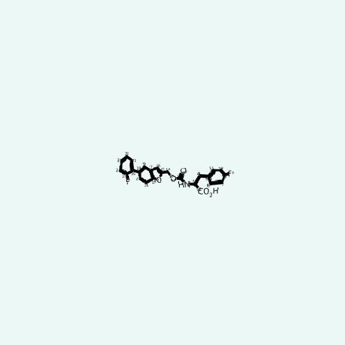 O=C(NC(Cc1ccc(F)cc1)C(=O)O)OCc1cc2cc(-c3ccccc3F)ccc2o1